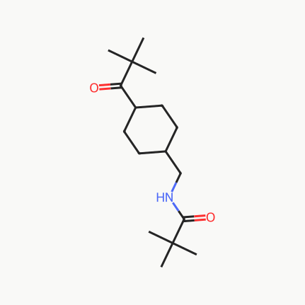 CC(C)(C)C(=O)NCC1CCC(C(=O)C(C)(C)C)CC1